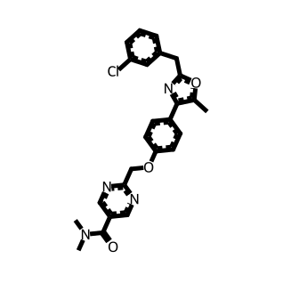 Cc1oc(Cc2cccc(Cl)c2)nc1-c1ccc(OCc2ncc(C(=O)N(C)C)cn2)cc1